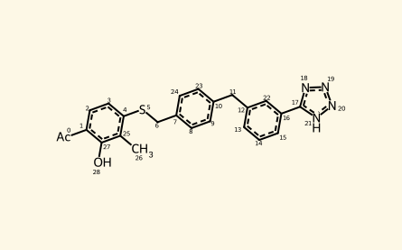 CC(=O)c1ccc(SCc2ccc(Cc3cccc(-c4nnn[nH]4)c3)cc2)c(C)c1O